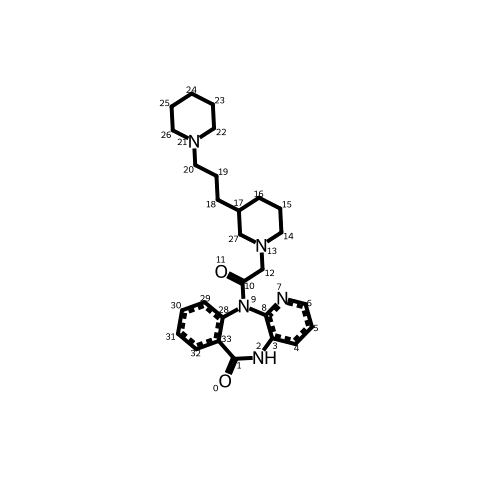 O=C1Nc2cccnc2N(C(=O)CN2CCCC(CCCN3CCCCC3)C2)c2ccccc21